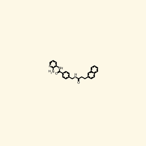 Nc1ncccc1NC(=O)c1ccc(CNC(=O)CCc2ccc3ccccc3c2)cc1